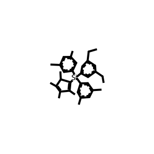 CCc1cc(CC)cc([Si](C2=C(C)C(C)=C(C)C2C)(c2cc(C)cc(C)c2)c2cc(C)cc(C)c2)c1